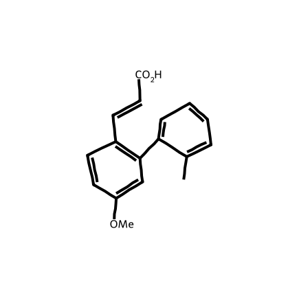 COc1ccc(C=CC(=O)O)c(-c2ccccc2C)c1